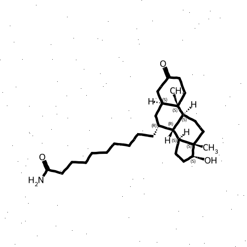 C[C@]12CCC(=O)C[C@@H]1C[C@@H](CCCCCCCCCC(N)=O)[C@@H]1[C@@H]2CC[C@]2(C)[C@@H](O)CC[C@@H]12